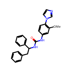 COc1cc(NC(=O)NC(Cc2ccccc2)c2ccccc2)ccc1-n1ccnc1